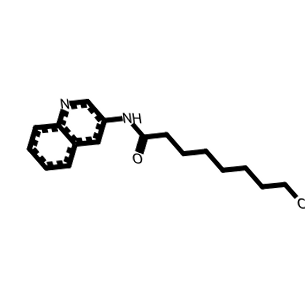 CCCCCCCCC(=O)Nc1cnc2ccccc2c1